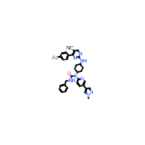 CC(=O)c1ccc(-c2nc(NC3CCC(N(C(=O)NCc4ccccc4)c4ccc(-c5cnn(C)c5)cn4)CC3)ncc2C#N)cc1